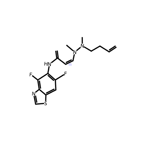 C=CCCN(C)N(C)/C=C\C(=C)Nc1c(F)cc2scnc2c1F